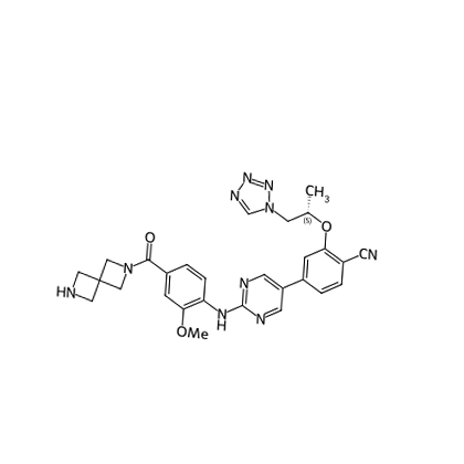 COc1cc(C(=O)N2CC3(CNC3)C2)ccc1Nc1ncc(-c2ccc(C#N)c(O[C@@H](C)Cn3cnnn3)c2)cn1